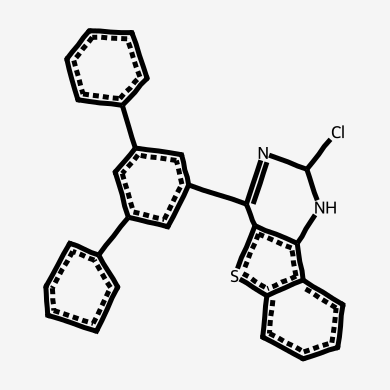 ClC1N=C(c2cc(-c3ccccc3)cc(-c3ccccc3)c2)c2sc3ccccc3c2N1